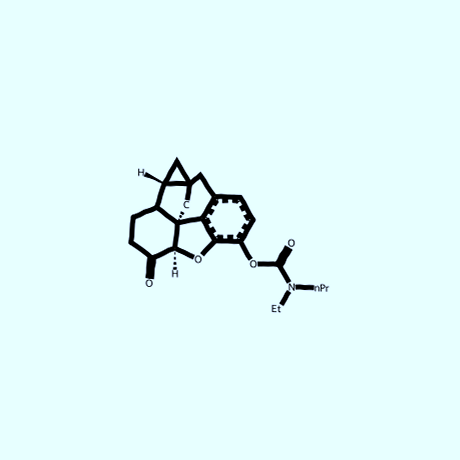 CCCN(CC)C(=O)Oc1ccc2c3c1O[C@H]1C(=O)CCC4[C@@H]5CC5(C2)C[C@@]341